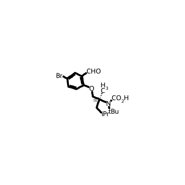 CC(C)C[C@@](C)(COc1ccc(Br)cc1C=O)N(C(=O)O)C(C)(C)C